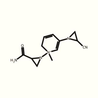 C[N+]1(N2CC2C(N)=O)C=C(N2CC2C#N)C=CC1